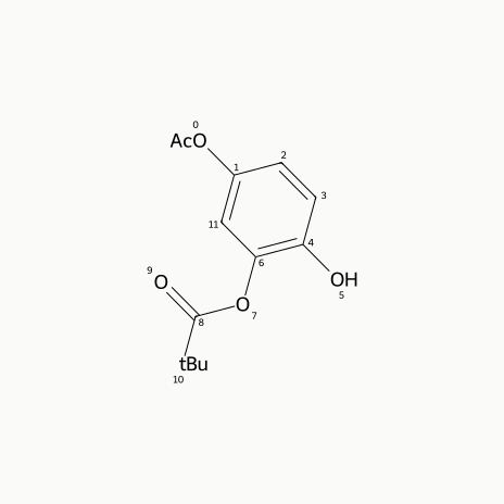 CC(=O)Oc1ccc(O)c(OC(=O)C(C)(C)C)c1